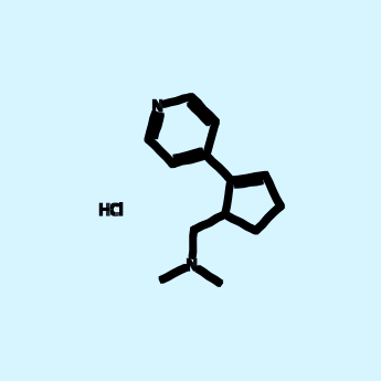 CN(C)CC1CCC=C1c1ccncc1.Cl